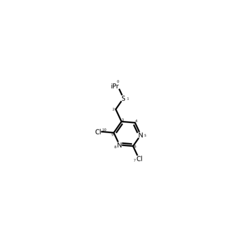 CC(C)SCc1cnc(Cl)nc1Cl